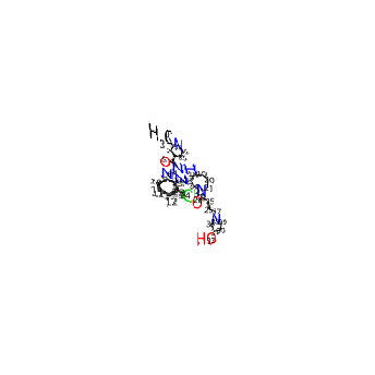 Cc1cc(C(=O)Nc2nc3cccc(Cl)c3n2[C@@H]2CCCCN(C(=O)C=CCN3CC[C@@H](O)C3)C2)ccn1